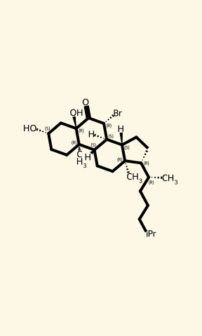 CC(C)CCC[C@@H](C)[C@H]1CC[C@H]2[C@@H]3[C@@H](Br)C(=O)[C@@]4(O)C[C@@H](O)CC[C@]4(C)[C@H]3CC[C@]12C